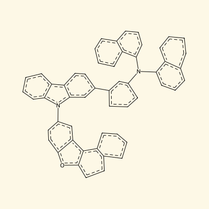 c1cc(-c2ccc3c4ccccc4n(-c4ccc5oc6ccc7ccccc7c6c5c4)c3c2)cc(N(c2cccc3ccccc23)c2cccc3ccccc23)c1